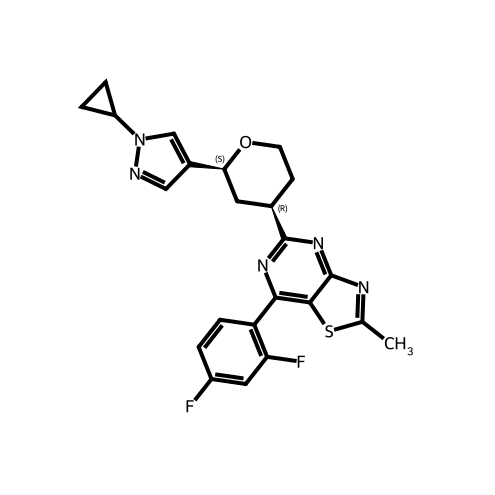 Cc1nc2nc([C@@H]3CCO[C@H](c4cnn(C5CC5)c4)C3)nc(-c3ccc(F)cc3F)c2s1